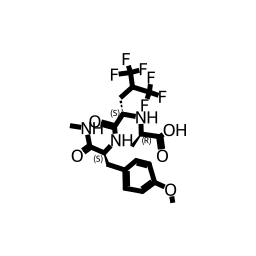 CNC(=O)[C@H](Cc1ccc(OC)cc1)NC(=O)[C@H](CC(C(F)(F)F)C(F)(F)F)N[C@H](C)C(=O)O